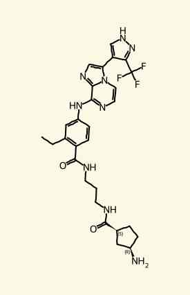 CCc1cc(Nc2nccn3c(-c4c[nH]nc4C(F)(F)F)cnc23)ccc1C(=O)NCCCNC(=O)[C@H]1CC[C@@H](N)C1